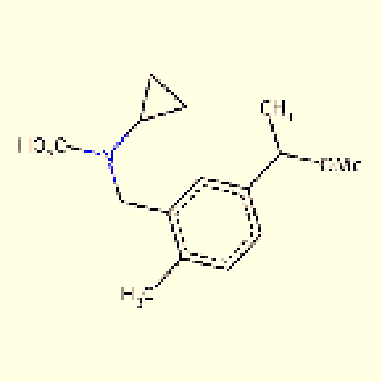 COC(C)c1ccc(C)c(CN(C(=O)O)C2CC2)c1